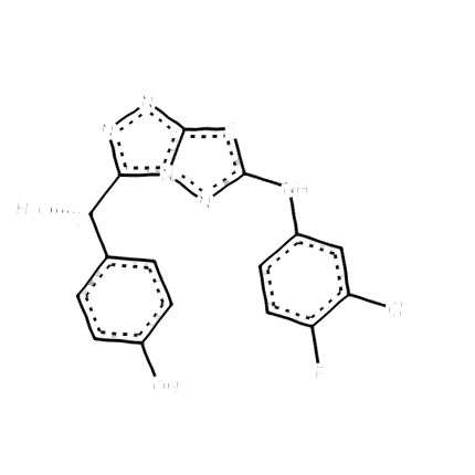 C[C@@H](c1ccc(O)cc1)c1nnc2sc(Nc3ccc(F)c(Cl)c3)nn12